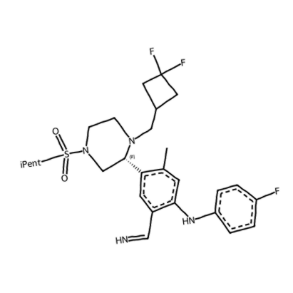 CCCC(C)S(=O)(=O)N1CCN(CC2CC(F)(F)C2)[C@H](c2cc(C=N)c(Nc3ccc(F)cc3)cc2C)C1